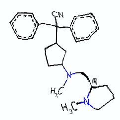 CN(C[C@H]1CCCN1C)C1CCC(C(C#N)(c2ccccc2)c2ccccc2)C1